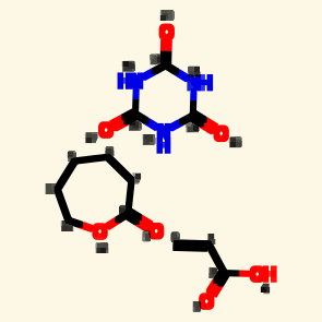 C=CC(=O)O.O=C1CCCCCO1.O=c1[nH]c(=O)[nH]c(=O)[nH]1